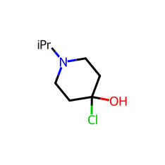 CC(C)N1CCC(O)(Cl)CC1